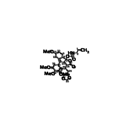 C=CCNC(=O)OC1(c2ccc(OC)cc2)OC(=O)C(c2ccc3c(c2)OCO3)=C1Cc1cc(OC)c(OC)c(OC)c1